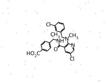 C[C@H](NC(=O)c1cc(Cl)cnc1N(C)Cc1cccc(Cl)c1)c1ccc(C(=O)O)cc1